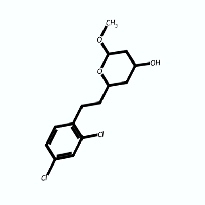 COC1CC(O)CC(CCc2ccc(Cl)cc2Cl)O1